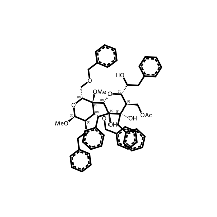 CO[C@H]1O[C@H](COCc2ccccc2)[C@](OC)([C@@H]2O[C@H](C(O)Cc3ccccc3)[C@@H](COC(C)=O)[C@@](O)(Cc3ccccc3)[C@]2(O)Cc2ccccc2)[C@H](OCc2ccccc2)[C@H]1OCc1ccccc1